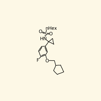 CCCCCCS(=O)(=O)NC1(c2ccc(F)c(OCC3CCCC3)c2)CC1